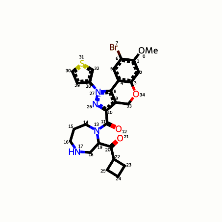 COc1cc2c(cc1Br)-c1c(c(C(=O)N3CCCNCC3C(=O)C3CCC3)nn1-c1ccsc1)CO2